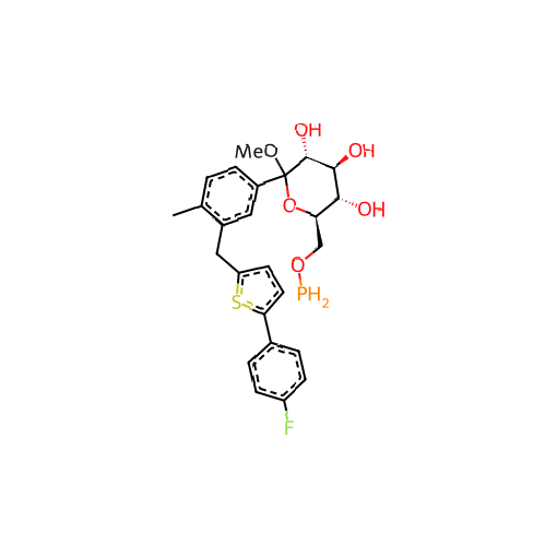 COC1(c2ccc(C)c(Cc3ccc(-c4ccc(F)cc4)s3)c2)O[C@H](COP)[C@@H](O)[C@H](O)[C@H]1O